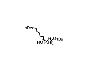 CCCCCCCCCCCCCCC[C@H](O)[C@H](C)NC(=O)OC(C)(C)C